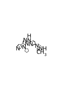 C[C@@H]1CN(c2ccc(Nc3ncc4c5ccncc5n(C5CCCC5)c4n3)nc2)CCN1